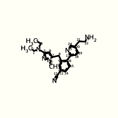 CCN(CC)c1cc(Cc2cc(C#N)ccc2-c2ccc(CCN)cn2)n(C)n1